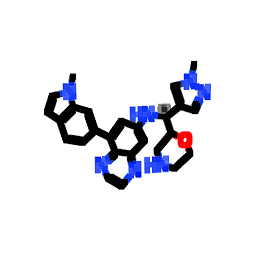 Cn1cc([C@H](Nc2cc(-c3ccc4ccn(C)c4c3)c3nccnc3c2)C2CNCCO2)cn1